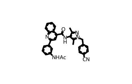 CC(=O)Nc1cccc(-c2cc(C(=O)Nc3c(C)nn(Cc4ccc(C#N)cc4)c3C)c3ccccc3n2)c1